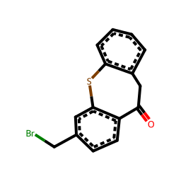 O=C1Cc2ccccc2Sc2cc(CBr)ccc21